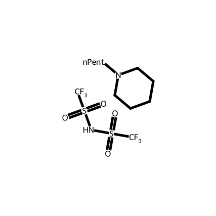 CCCCCN1CCCCC1.O=S(=O)(NS(=O)(=O)C(F)(F)F)C(F)(F)F